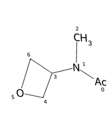 CC(=O)N(C)C1COC1